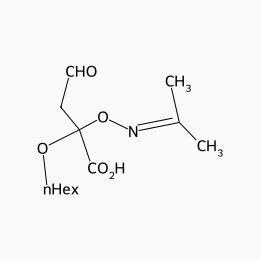 CCCCCCOC(CC=O)(ON=C(C)C)C(=O)O